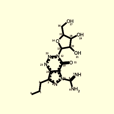 CCCc1nn(C(=N)N)c2c(=O)n(C3OC(CO)C(O)C3O)nnc12